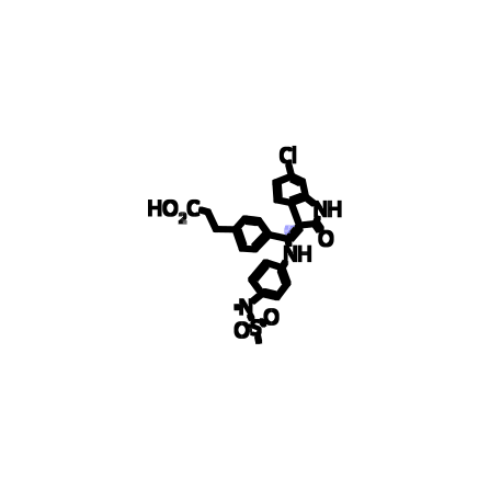 CN(c1ccc(N/C(=C2\C(=O)Nc3cc(Cl)ccc32)c2ccc(CCC(=O)O)cc2)cc1)S(C)(=O)=O